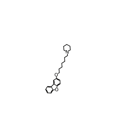 c1ccc2c(c1)oc1ccc(OCCCCCCCN3CCCCC3)cc12